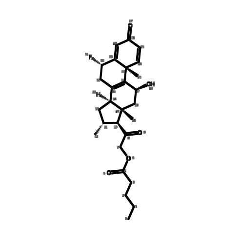 CCCCC(=O)OCC(=O)[C@H]1[C@H](C)C[C@H]2C3=C([C@@H](O)C[C@@]21C)[C@@]1(C)C=CC(=O)C=C1[C@@H](F)C3